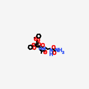 COC1(OC[C@H]2O[C@@H](n3cc(C)c(=O)n(CCCNC(=O)C(N)=O)c3=O)C[C@@H]2OC2(OC)CCCCC2)CCCCC1